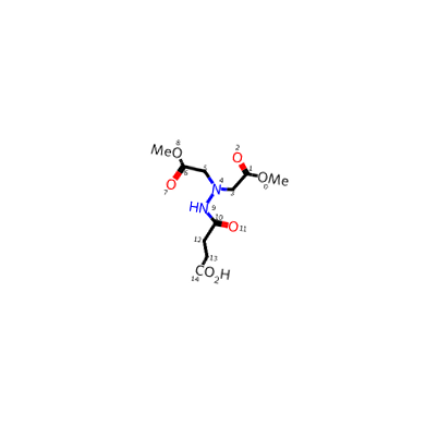 COC(=O)CN(CC(=O)OC)NC(=O)CCC(=O)O